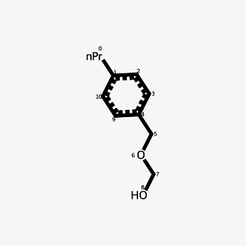 CCCc1ccc(COCO)cc1